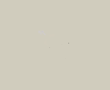 CC(C)CC(C)(C=O)CC(C)(C)OC(N)=O